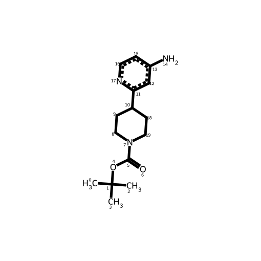 CC(C)(C)OC(=O)N1CCC(c2cc(N)ccn2)CC1